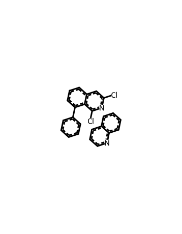 Clc1cc2cccc(-c3ccccc3)c2c(Cl)n1.c1ccc2ncccc2c1